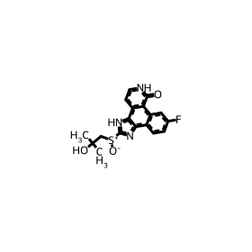 CC(C)(O)C[S+]([O-])c1nc2c3ccc(F)cc3c3c(=O)[nH]ccc3c2[nH]1